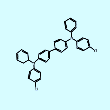 Clc1ccc(N(c2ccccc2)c2ccc(-c3ccc(N(c4ccc(Cl)cc4)C4C=CC=CC4)cc3)cc2)cc1